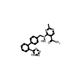 CCCCN(Cc1ccc(-c2ccccc2-c2nnn[nH]2)cc1)c1nc(C)ncc1C(N)=O